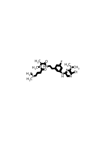 CCc1ncc(Nc2cc(F)cc(CCNC(=O)[C@H](C)N(C)C(=O)/C=C/CN(C)C)c2)nc1N(C)C